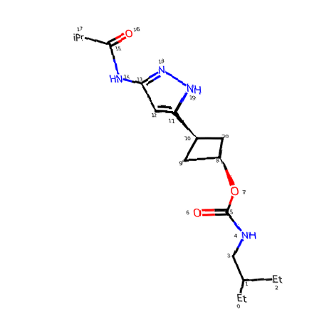 CCC(CC)CNC(=O)O[C@H]1C[C@@H](c2cc(NC(=O)C(C)C)n[nH]2)C1